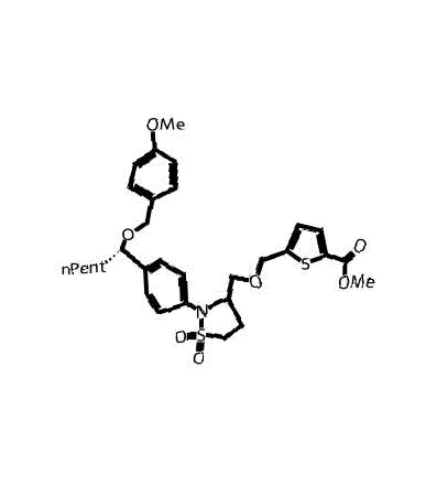 CCCCC[C@H](OCc1ccc(OC)cc1)c1ccc(N2C(COCc3ccc(C(=O)OC)s3)CCS2(=O)=O)cc1